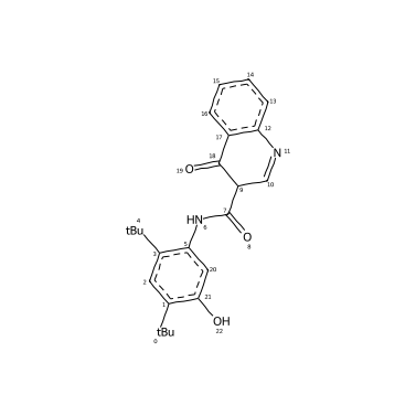 CC(C)(C)c1cc(C(C)(C)C)c(NC(=O)C2C=Nc3ccccc3C2=O)cc1O